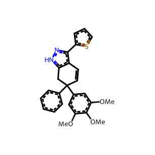 COc1cc(C2(c3ccccc3)C=Cc3c(-c4cccs4)n[nH]c3C2)cc(OC)c1OC